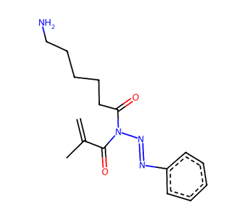 C=C(C)C(=O)N(/N=N/c1ccccc1)C(=O)CCCCCN